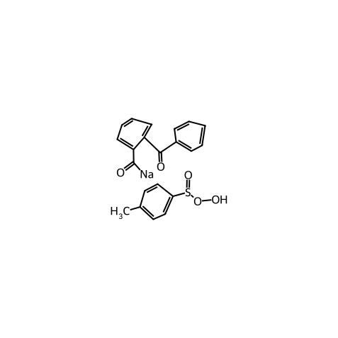 Cc1ccc(S(=O)OO)cc1.O=[C]([Na])c1ccccc1C(=O)c1ccccc1